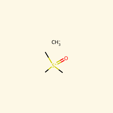 C[S+](C)(C)=O.[CH3-]